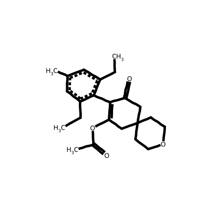 CCc1cc(C)cc(CC)c1C1=C(OC(C)=O)CC2(CCOCC2)CC1=O